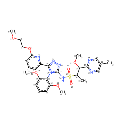 COCCOc1cccc(-c2nnc(NS(=O)(=O)C(C)C(OC)c3ncc(C)cn3)n2-c2c(OC)cccc2OC)n1